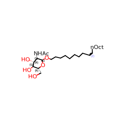 CCCCCCCC/C=C\CCCCCCCCO[C@H]1O[C@H](CO)[C@@H](O)[C@H](O)[C@@H]1NC(C)=O